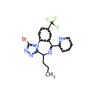 CCCC1N=C(c2ccccn2)c2cc(C(F)(F)F)ccc2-n2c(Br)nnc21